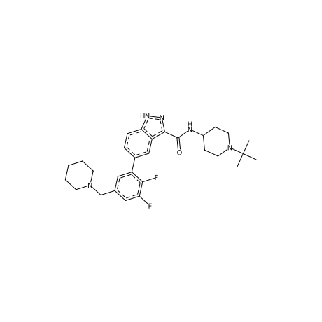 CC(C)(C)N1CCC(NC(=O)c2n[nH]c3ccc(-c4cc(CN5CCCCC5)cc(F)c4F)cc23)CC1